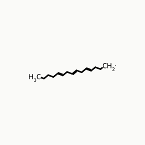 [CH2]CCC=CCC=CCC=CCCCC